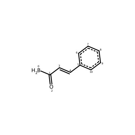 BC(=O)/C=C/c1ccccc1